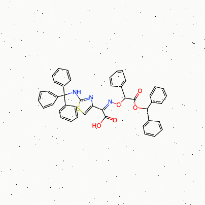 O=C(O)C(=NOC(C(=O)OC(c1ccccc1)c1ccccc1)c1ccccc1)c1csc(NC(c2ccccc2)(c2ccccc2)c2ccccc2)n1